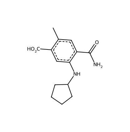 Cc1cc(C(N)=O)c(NC2CCCC2)cc1C(=O)O